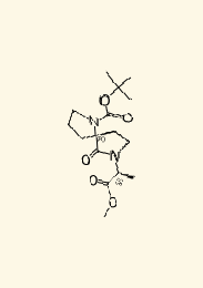 COC(=O)[C@H](C)N1CC[C@]2(CCCN2C(=O)OC(C)(C)C)C1=O